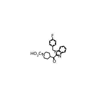 O=C(c1nc2ccccc2n1Cc1ccc(F)cc1)C1CCN(C(=O)O)CC1